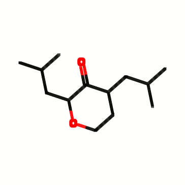 CC(C)CC1CCOC(CC(C)C)C1=O